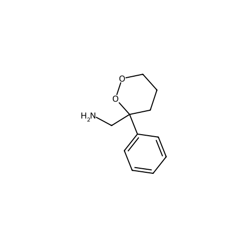 NCC1(c2ccccc2)CCCOO1